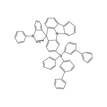 c1ccc(-c2cccc([Si](c3ccccc3)(c3cccc(-c4ccccc4)c3)c3ccc4c(c3)-n3c5ccccc5c5cccc(c53)C43c4ccccc4N(c4ccccc4)c4ccccc43)c2)cc1